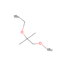 CC(C)(C)COC(C)(C)COC(C)(C)C